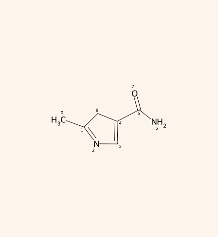 CC1=NC=C(C(N)=O)C1